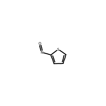 O=Nc1cc[c]s1